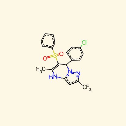 CC1=C(S(=O)(=O)c2ccccc2)C(c2ccc(Cl)cc2)n2nc(C(F)(F)F)cc2N1